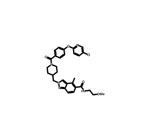 COCCNC(=O)c1ccc2nn(CC3CCN(C(=O)c4ccc(Oc5ccc(Cl)cn5)cc4)CC3)cc2c1C